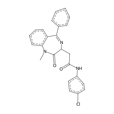 CN1C(=O)C(CC(=O)Nc2ccc(Cl)cc2)N=C(c2ccccc2)c2ccccc21